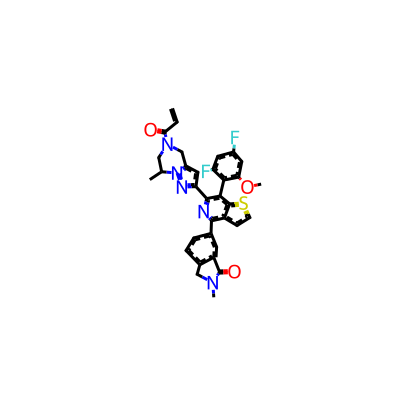 C=CC(=O)N1Cc2cc(-c3nc(-c4ccc5c(c4)C(=O)N(C)C5)c4ccsc4c3-c3c(F)cc(F)cc3OC)nn2C(C)C1